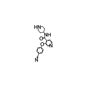 N#Cc1ccc(Oc2cnccc2C(=O)NC2CCNCC2)cc1